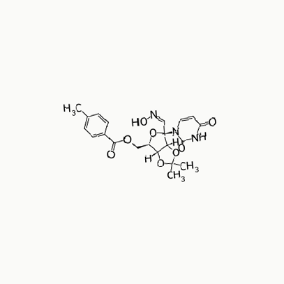 Cc1ccc(C(=O)OC[C@H]2O[C@@](/C=N\O)(n3ccc(=O)[nH]c3=O)[C@@H]3OC(C)(C)O[C@@H]32)cc1